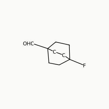 O=CC12CCC(F)(CC1)CC2